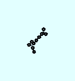 c1ccc(-c2ccc(N(c3ccccc3)c3ccc(-c4ccc(-c5ccc(-c6ccc7c(c6)c6ccccc6n7-c6ccccc6)cc5)cc4)c4ccccc34)cc2)cc1